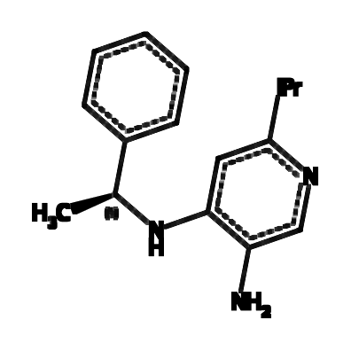 CC(C)c1cc(N[C@@H](C)c2ccccc2)c(N)cn1